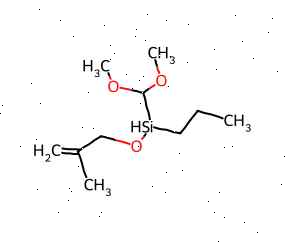 C=C(C)CO[SiH](CCC)C(OC)OC